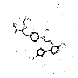 CCOC(Cc1ccc(OCCn2c(C)ccc2-c2cc(C)cs2)cc1)C(=O)O.[Zn]